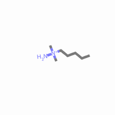 CCCCC[N+](C)(C)N